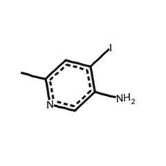 Cc1cc(I)c(N)cn1